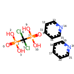 O=P(O)(O)C(Cl)(Cl)P(=O)(O)O.c1ccncc1.c1ccncc1